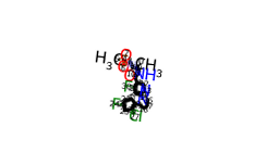 C[C@H](/C=C/S(C)(=O)=O)NC(=O)c1cnc(N2CCCC2c2ccc(F)cc2Cl)cc1F